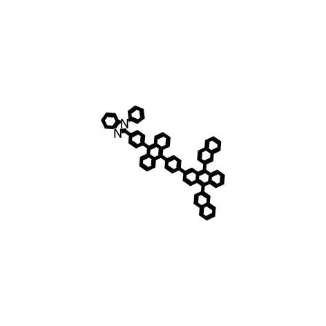 C1=Cc2c(nc(-c3ccc(-c4c5ccccc5c(-c5ccc(-c6ccc7c(-c8ccc9ccccc9c8)c8ccccc8c(-c8ccc9ccccc9c8)c7c6)cc5)c5ccccc45)cc3)n2-c2ccccc2)CC1